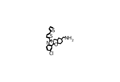 NCC1CCCC(Cn2c(-c3ccc(-c4cccs4)s3)nc3ccc(Cl)cc3c2=O)C1